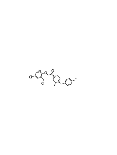 C[C@@H]1CN(Cc2ccc(F)cc2)[C@@H](C)CN1C(=O)COc1ncc(Cl)cc1CCl